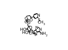 CSc1cc([C@@H]2CCO[P@](=O)(OC[C@H]3O[C@@H](n4cnc5c(N)ncnc54)[C@](C)(O)[C@@H]3O)O2)ccn1